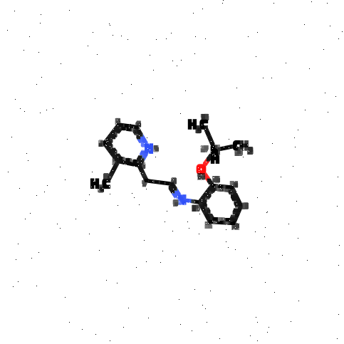 Cc1cccnc1CC=Nc1ccccc1O[SiH](C)C